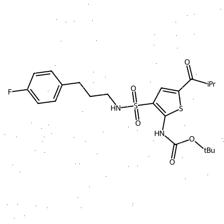 CC(C)C(=O)c1cc(S(=O)(=O)NCCCc2ccc(F)cc2)c(NC(=O)OC(C)(C)C)s1